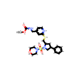 CCCCOC(=O)NCc1ccnc(SCC2CC(c3ccccc3)CN2S(=O)(=O)N2CCOCC2)c1